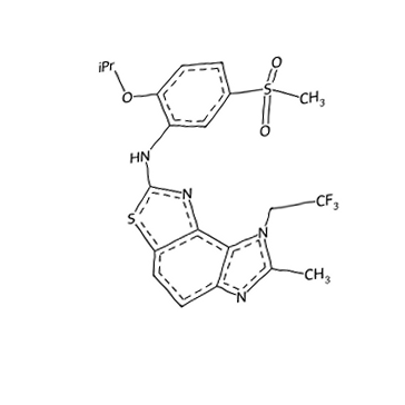 Cc1nc2ccc3sc(Nc4cc(S(C)(=O)=O)ccc4OC(C)C)nc3c2n1CC(F)(F)F